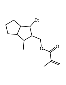 C=C(C)C(=O)OCC1C(C)C2CCCC2C1CC